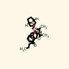 CCCC(=O)N1CCc2c(nc(C)n2[C@H]2C[C@H]3CC[C@@H](C2)N3CC[C@H](NC(C)=O)c2cccc(F)c2)C1